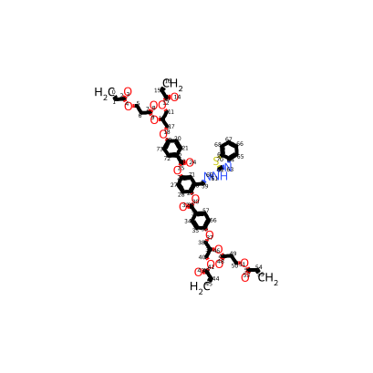 C=CC(=O)OCCC(=O)OC(COC(=O)C=C)COc1ccc(C(=O)Oc2ccc(OC(=O)c3ccc(OCC(COC(=O)C=C)OC(=O)CCOC(=O)C=C)cc3)c(/C=N/Nc3nc4ccccc4s3)c2)cc1